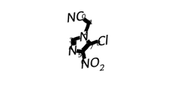 N#CCn1cnc([N+](=O)[O-])c1Cl